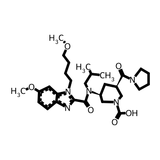 COCCCCn1c(C(=O)N(CC(C)C)[C@H]2C[C@@H](C(=O)N3CCCC3)CN(C(=O)O)C2)nc2ccc(OC)cc21